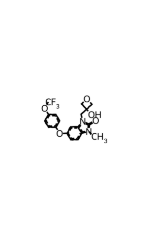 Cn1c(=O)n(CC2(O)COC2)c2cc(Oc3ccc(OC(F)(F)F)cc3)ccc21